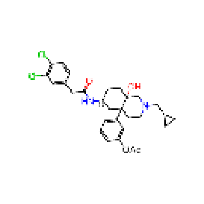 CC(=O)Oc1cccc(C23CCN(CC4CC4)CC2(O)CC[C@H](NC(=O)Cc2ccc(Cl)c(Cl)c2)C3)c1